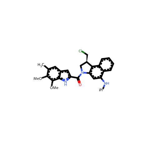 COc1c(C)cc2cc(C(=O)N3C[C@@H](CCl)c4c3cc(NC(C)C)c3ccccc43)[nH]c2c1OC